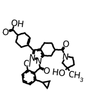 CC1(O)CCN(C(=O)C2CCc3c(C4=CCC(C(=O)O)CC4)nn(C(=O)c4c(Cl)cccc4C4CC4)c3C2)C1